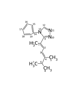 C/C(=C\C=C(/C)C(C)C)c1nncn1-c1ccccc1